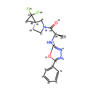 CC[C@@H](Nc1nnc(-c2ccccc2)o1)C(=O)N1CC[C@]2(C1)CC2(F)F